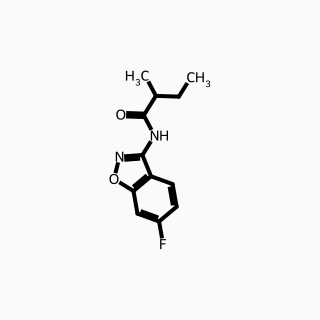 CCC(C)C(=O)Nc1noc2cc(F)ccc12